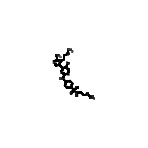 COCCNS(=O)(=O)c1ccc(Nc2ncc(Br)c(-c3cnc(C)n3CCOC)n2)cc1